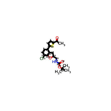 CC(=O)c1ccc(-c2ccc(Cl)c3c2CC(CNC(=O)OC(C)(C)C)O3)s1